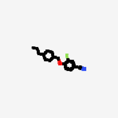 CCCC1CCC(COc2ccc(C#N)cc2F)CC1